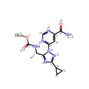 C[C@H](NC(=O)OC(C)(C)C)c1nc(C2CC2)nn1-c1cc(C(N)=O)ncn1